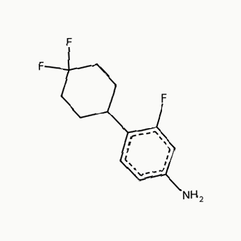 Nc1ccc(C2CCC(F)(F)CC2)c(F)c1